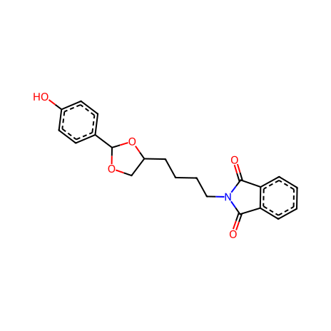 O=C1c2ccccc2C(=O)N1CCCCC1COC(c2ccc(O)cc2)O1